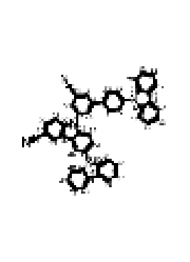 N#Cc1cc(-c2ccc(-n3c4ccccc4c4ccccc43)cc2)cc(-n2c3ccc(C#N)cc3c3cc(-n4c5ccccc5c5ccccc54)ccc32)c1